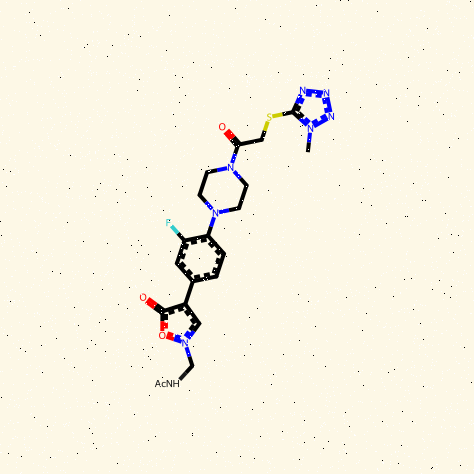 CC(=O)NCn1cc(-c2ccc(N3CCN(C(=O)CSc4nnnn4C)CC3)c(F)c2)c(=O)o1